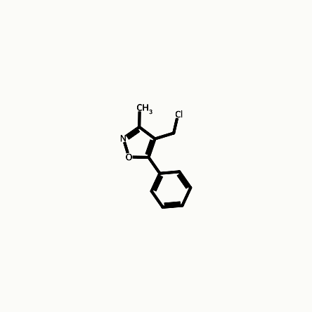 Cc1noc(-c2ccccc2)c1CCl